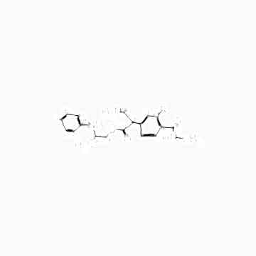 CNC(=O)c1ccc(C(CN)C(=O)OCC(C)Nc2ccccc2)cc1F